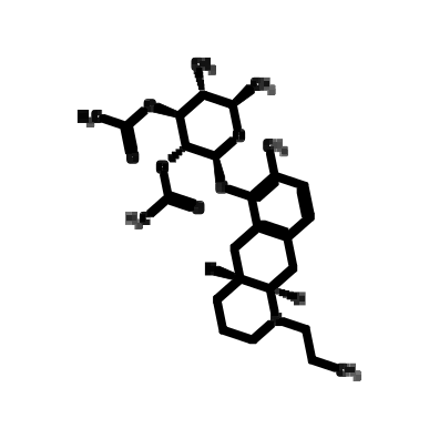 CCCN1CCC[C@@H]2Cc3c(ccc(C)c3O[C@@H]3O[C@H](C)[C@@H](C)[C@H](OC(C)=O)[C@H]3OC(C)=O)C[C@H]21